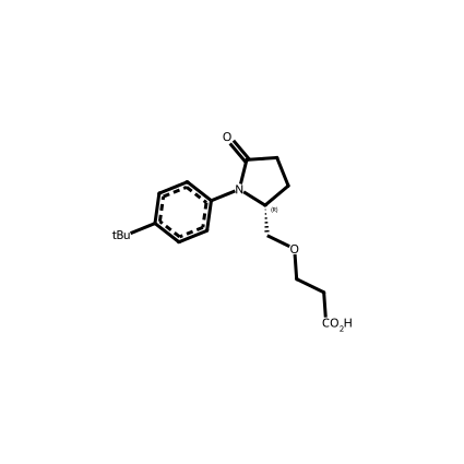 CC(C)(C)c1ccc(N2C(=O)CC[C@@H]2COCCC(=O)O)cc1